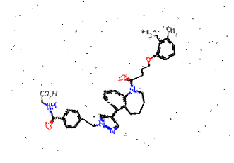 Cc1cccc(OCCCC(=O)N2CCCCc3c(-c4cnn(Cc5ccc(C(=O)NCC(=O)O)cc5)c4)cccc32)c1C